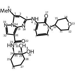 CNc1cc(Nc2cccn(C3CCOCC3)c2=O)nc2c(C(=O)N[C@@H]3CCCC[C@@]3(C)O)cnn12